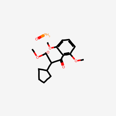 COC(=O)C(C(=O)c1c(OC)cccc1OC)C1CCCC1.O=[PH3]